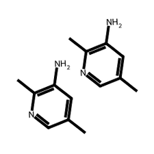 Cc1cnc(C)c(N)c1.Cc1cnc(C)c(N)c1